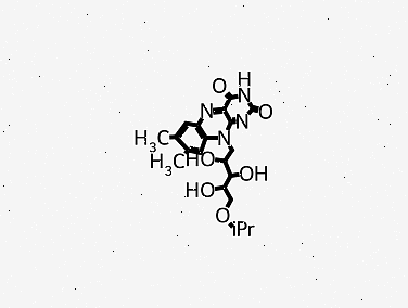 Cc1cc2nc3c(=O)[nH]c(=O)nc-3n(CC(O)C(O)C(O)COC(C)C)c2cc1C